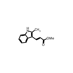 COC(=O)/C=C/c1c(C)[nH]c2ccccc12